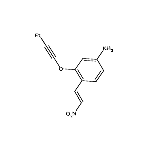 CCC#COc1cc(N)ccc1C=C[N+](=O)[O-]